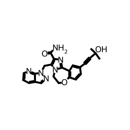 CC(C)(O)C#Cc1ccc2c(c1)-c1nc(C(N)=O)c(Cn3ncc4cccnc43)n1CCO2